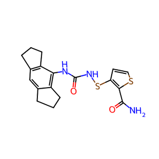 NC(=O)c1sccc1SNC(=O)Nc1c2c(cc3c1CCC3)CCC2